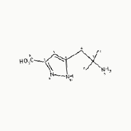 CC(C)(N)Cc1cc(C(=O)O)n[nH]1